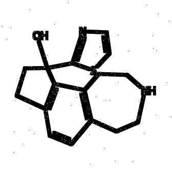 OC1(c2nccs2)CCc2ccc3c(c21)CCNCC3